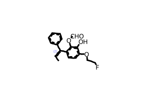 C/C=C(/c1ccccc1)c1ccc(OCCF)c(O)c1OC=O